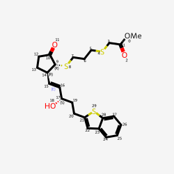 COC(=O)CSCCCS[C@H]1C(=O)CC[C@@H]1/C=C/[C@@H](O)CCc1cc2ccccc2s1